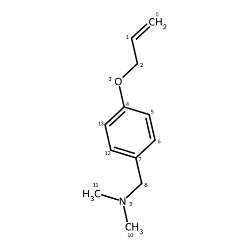 C=CCOc1ccc(CN(C)C)cc1